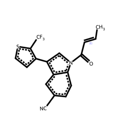 C/C=C/C(=O)n1cc(-c2ccsc2C(F)(F)F)c2cc(C#N)ccc21